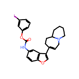 O=C(Nc1ccc2occ(C3=CCN4CCCCC4CC3)c2c1)Oc1cccc(I)c1